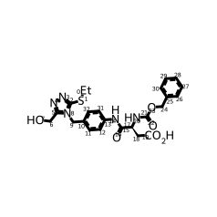 CCSc1nnc(CO)n1Cc1ccc(NC(=O)[C@H](CC(=O)O)NC(=O)OCc2ccccc2)cc1